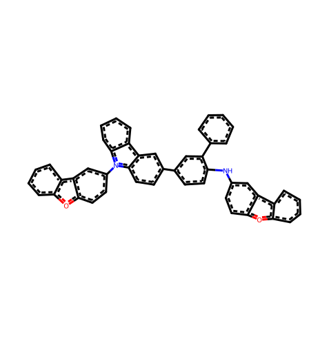 c1ccc(-c2cc(-c3ccc4c(c3)c3ccccc3n4-c3ccc4oc5ccccc5c4c3)ccc2Nc2ccc3oc4ccccc4c3c2)cc1